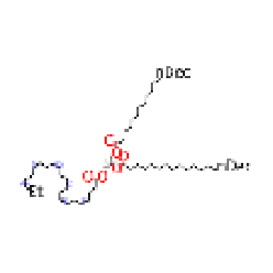 CC/C=C\C/C=C\C/C=C\C/C=C\C/C=C\C/C=C\CCC(=O)OC[C@H](COC(=O)CCCCCCCCCCCCCCCCCCCCC)OC(=O)CCCCCCCCCCCCCCCCCCCCCCC